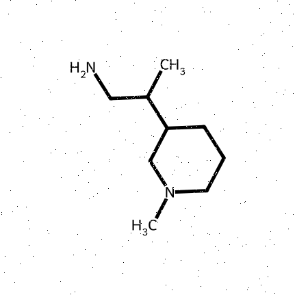 CC(CN)C1CCCN(C)C1